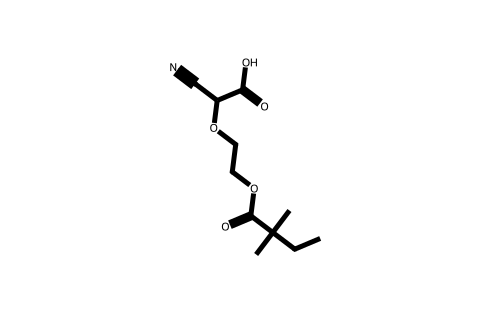 CCC(C)(C)C(=O)OCCOC(C#N)C(=O)O